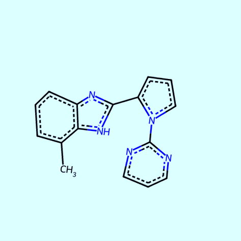 Cc1cccc2nc(-c3cccn3-c3ncccn3)[nH]c12